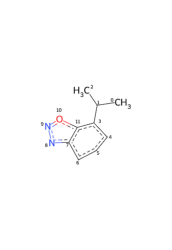 CC(C)c1cccc2nnoc12